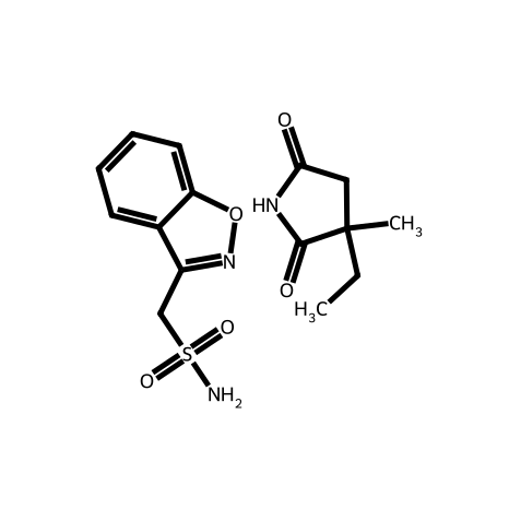 CCC1(C)CC(=O)NC1=O.NS(=O)(=O)Cc1noc2ccccc12